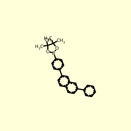 CC1(C)OB(c2ccc(-c3ccc4ccc(-c5ccccc5)cc4c3)cc2)OC1(C)C